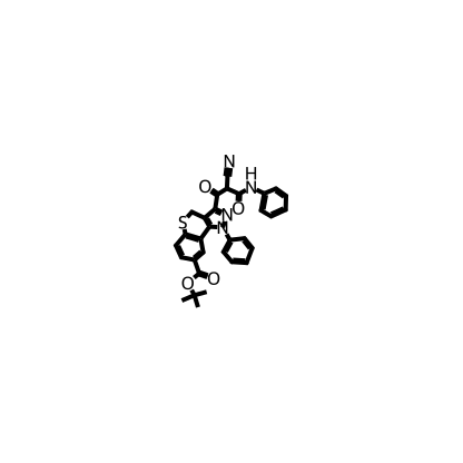 CC(C)(C)OC(=O)c1ccc2c(c1)-c1c(c(C(=O)C(C#N)C(=O)Nc3ccccc3)nn1-c1ccccc1)CS2